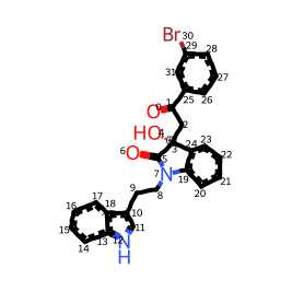 O=C(C[C@]1(O)C(=O)N(CCc2c[nH]c3ccccc23)c2ccccc21)c1cccc(Br)c1